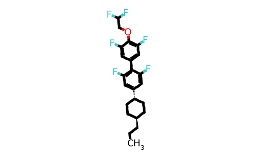 CCC[C@H]1CC[C@H](c2cc(F)c(-c3cc(F)c(OCC(F)F)c(F)c3)c(F)c2)CC1